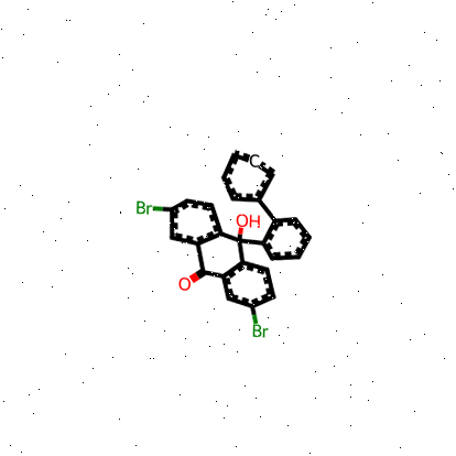 O=C1c2cc(Br)ccc2C(O)(c2ccccc2-c2ccccc2)c2ccc(Br)cc21